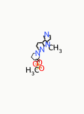 Cn1c2ccncc2c2ccc(N3CCC[C@H](OS(C)(=O)=O)C3)nc21